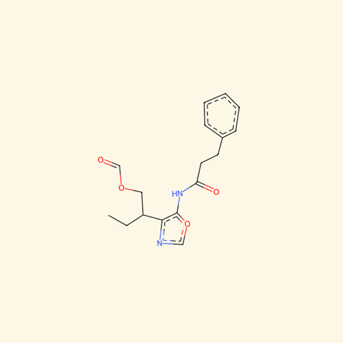 CCC(COC=O)c1ncoc1NC(=O)CCc1ccccc1